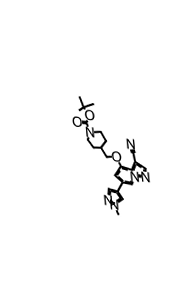 Cn1cc(-c2cc(OCC3CCN(C(=O)OC(C)(C)C)CC3)c3c(C#N)cnn3c2)cn1